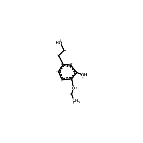 CCOc1ccc(CCO)cc1O